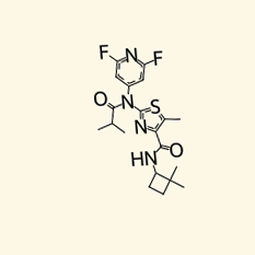 Cc1sc(N(C(=O)C(C)C)c2cc(F)nc(F)c2)nc1C(=O)NC1CCC1(C)C